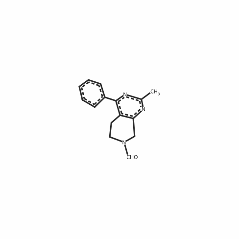 Cc1nc2c(c(-c3ccccc3)n1)CCN(C=O)C2